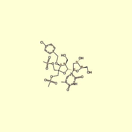 Cc1cn([C@@]2(C3OC(COS(C)(=O)=O)(COS(C)(=O)=O)[C@@H](OCc4ccc(Cl)cc4)[C@H]3CO)C[C@H](O)[C@@H](CO)O2)c(=O)[nH]c1=O